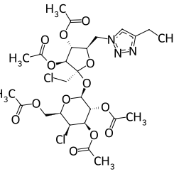 CCc1cn(C[C@H]2O[C@@](CCl)(O[C@@H]3O[C@H](COC(C)=O)[C@H](Cl)[C@H](OC(C)=O)[C@H]3OC(C)=O)[C@@H](OC(C)=O)[C@@H]2OC(C)=O)nn1